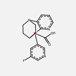 O=C(O)[N+]1(c2cncc(F)c2)c2ncccc2N2CCC1CC2